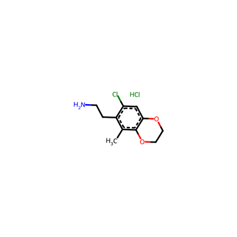 Cc1c(CCN)c(Cl)cc2c1OCCO2.Cl